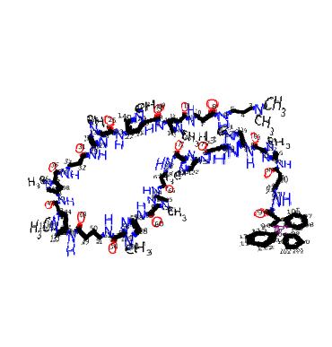 CN(C)CCCNC(=O)CCNC(=O)c1cc(NC(=O)c2cc(NC(=O)c3nc(NC(=O)CCNC(=O)c4cc(NC(=O)c5cc(NC(=O)CCCNC(=O)c6nc(NC(=O)c7nc(NC(=O)CCNC(=O)c8nc(NC(=O)c9nc(NC(=O)c%10nc(NC(=O)CCNC(=O)CC[P+](c%11ccccc%11)(c%11ccccc%11)c%11ccccc%11)cn%10C)cn9C)cn8C)cn7C)cn6C)cn5C)cn4C)cn3C)cn2C)cn1C